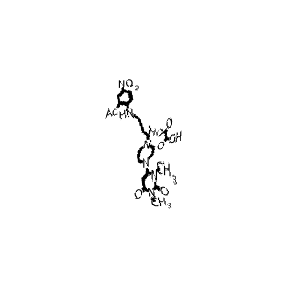 CC(=O)c1cc([N+](=O)[O-])ccc1NCCCN1CCN(c2cc(=O)n(C)c(=O)n2C)CC1.O=C(O)C(=O)O